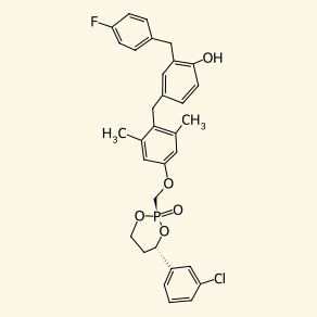 Cc1cc(OC[P@]2(=O)OCC[C@@H](c3cccc(Cl)c3)O2)cc(C)c1Cc1ccc(O)c(Cc2ccc(F)cc2)c1